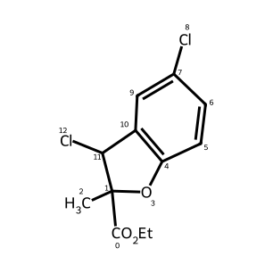 CCOC(=O)C1(C)Oc2ccc(Cl)cc2C1Cl